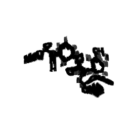 COC(=O)Nc1cccc(OC(=O)N(CC(OC)OC)c2cccc(C)c2)c1